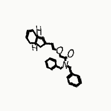 O=C(COCCC1C[C@H]2CC=CC[C@H]2C1)N(Cc1ccccc1)Cc1ccccc1